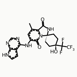 Cc1cc(Nc2ncnc3[nH]ccc23)c(=O)n2c1C(=O)N[C@]21CC[C@@](O)(C(F)(F)C(F)(F)F)CC1